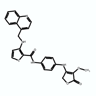 COC1=C(Nc2ccc(NC(=O)c3sccc3NCc3ccnc4ccccc34)cc2)COC1=O